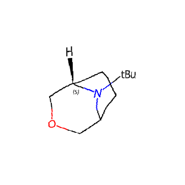 CC(C)(C)N1C2CC[C@H]1COC2